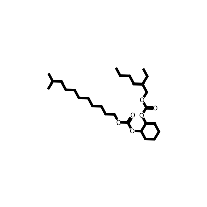 CCCCC(CC)COC(=O)OC1CCCCC1OC(=O)OCCCCCCCCCC(C)C